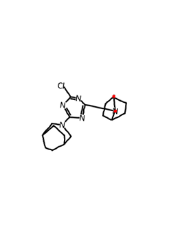 Clc1nc(N2CC3CCC(CC3)C2)nc(N2CC3CCC(CC3)C2)n1